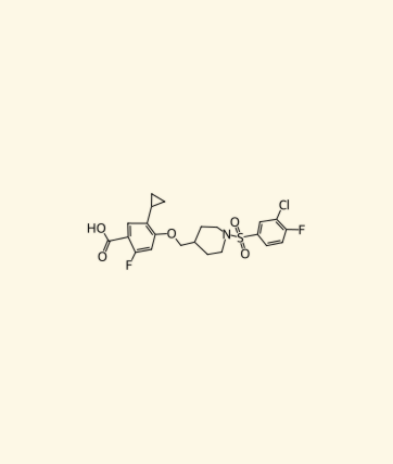 O=C(O)c1cc(C2CC2)c(OCC2CCN(S(=O)(=O)c3ccc(F)c(Cl)c3)CC2)cc1F